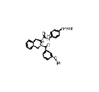 CCCCCc1ccc(NC(=O)[C@@H]2Cc3ccccc3CN2C(=O)c2cccc(OC(C)C)c2)cc1